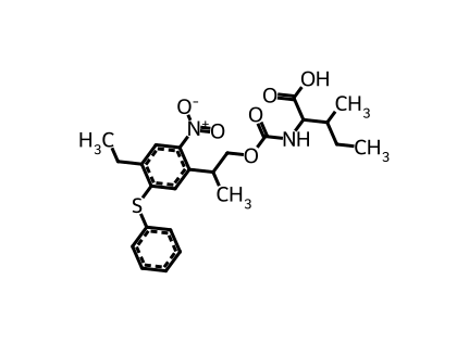 CCc1cc([N+](=O)[O-])c(C(C)COC(=O)NC(C(=O)O)C(C)CC)cc1Sc1ccccc1